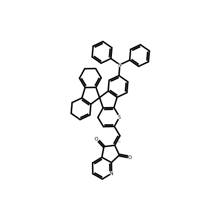 O=C1/C(=C\C2=CCC3=C(S2)c2ccc(N(c4ccccc4)c4ccccc4)cc2C32C3=CCCC=C3C3=C2C=CCC3)C(=O)c2ncccc21